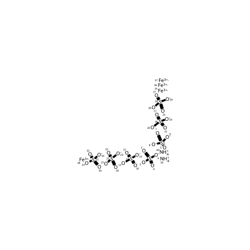 O=S(=O)([O-])[O-].O=S(=O)([O-])[O-].O=S(=O)([O-])[O-].O=S(=O)([O-])[O-].O=S(=O)([O-])[O-].O=S(=O)([O-])[O-].O=S(=O)([O-])[O-].[Fe+3].[Fe+3].[Fe+3].[Fe+3].[NH4+].[NH4+]